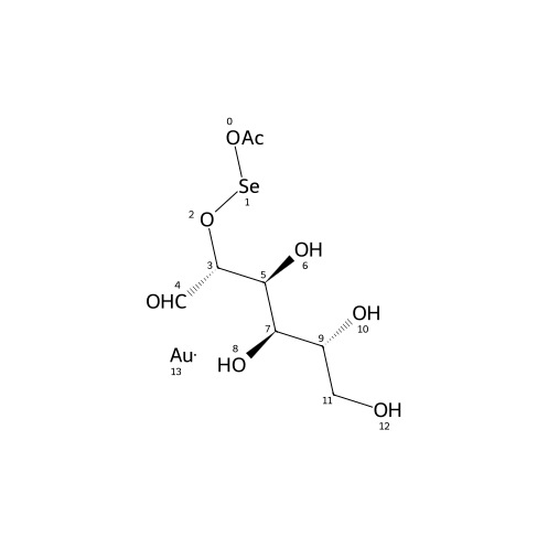 CC(=O)O[Se]O[C@@H](C=O)[C@@H](O)[C@H](O)[C@H](O)CO.[Au]